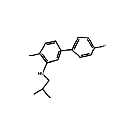 Cc1ccc(-c2ccc(F)cc2)cc1NCC(C)C